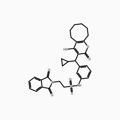 O=C1c2ccccc2C(=O)N1CCS(=O)(=O)Nc1cccc(C(c2c(O)c3c(oc2=O)CCCCCC3)C2CC2)c1